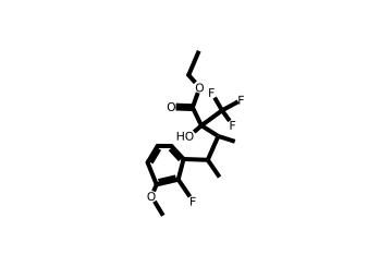 CCOC(=O)C(O)(C(C)C(C)c1cccc(OC)c1F)C(F)(F)F